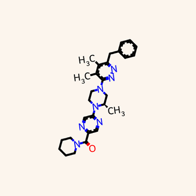 Cc1c(Cc2ccccc2)nnc(N2CCN(c3cnc(C(=O)N4CCCCC4)cn3)[C@H](C)C2)c1C